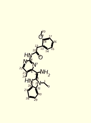 CCN1/C(=C(\N)c2nc(NC(=O)Cc3ccccc3OC)ncc2C)Nc2ccccc21